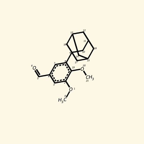 COc1cc(C=O)cc(C23CC4CC(CC(C4)C2)C3)c1OC